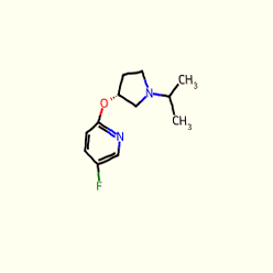 CC(C)N1CC[C@@H](Oc2ccc(F)cn2)C1